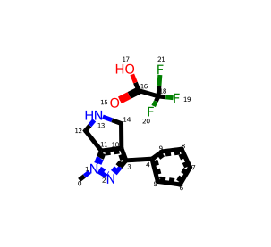 Cn1nc(-c2ccccc2)c2c1CNC2.O=C(O)C(F)(F)F